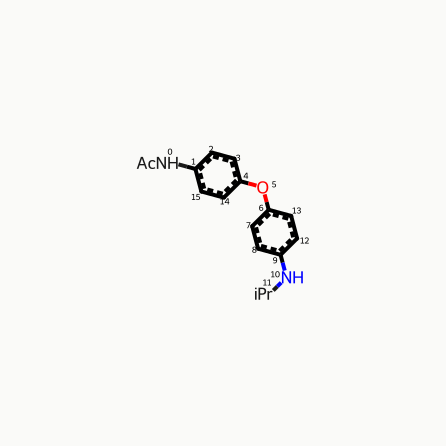 CC(=O)Nc1ccc(Oc2ccc(NC(C)C)cc2)cc1